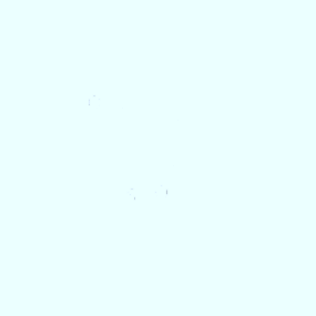 COc1ccc2c(c1)C(O[Si](C(C)C)(C(C)C)C(C)C)C(C)(C)C2